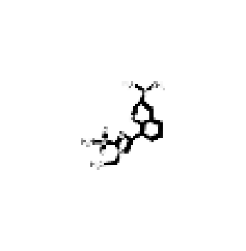 CCn1cc(-c2cccc3cc(N(C)C)cnc23)nc1S(N)(=O)=O